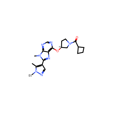 CCn1ncc(-c2nc3c(O[C@H]4CCN(C(=O)C5CCC5)C4)ncnc3n2C)c1C